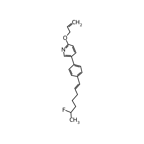 C=CCOc1ccc(-c2ccc(C=CCCCC(C)F)cc2)cn1